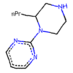 CCCC1CNCCN1c1ncccn1